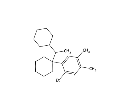 CCc1[c]c(C)c(C)[c]c1C1(C(C)C2CCCCC2)CCCCC1